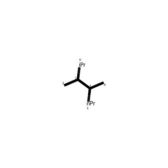 [CH2]C(C)C(C)C(C)CCC